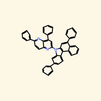 c1ccc(-c2ccc3c4c5ccccc5c(-c5ccccc5)cc4n(-c4cc(-c5ccccc5)c5nc(-c6ccccc6)ccc5n4)c3c2)cc1